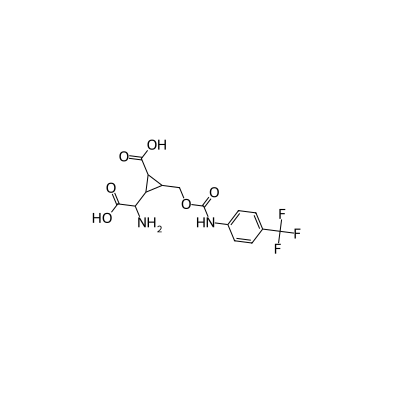 NC(C(=O)O)C1C(COC(=O)Nc2ccc(C(F)(F)F)cc2)C1C(=O)O